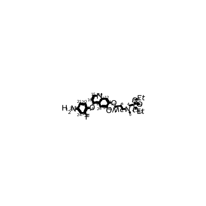 CCOP(=O)(CN(C)CCCOc1cc2nccc(Oc3ccc(N)cc3F)c2cc1OC)OCC